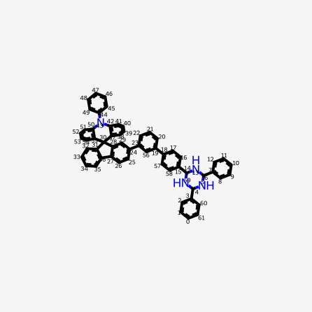 c1ccc(C2NC(c3ccccc3)NC(c3ccc(-c4cccc(-c5ccc6c(c5)C5(c7ccccc7-6)c6ccccc6N(c6ccccc6)c6ccccc65)c4)cc3)N2)cc1